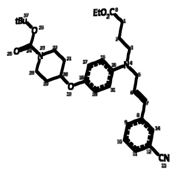 CCOC(=O)CCCN(C/C=C/c1cccc(C#N)c1)c1ccc(OC2CCN(C(=O)OC(C)(C)C)CC2)cc1